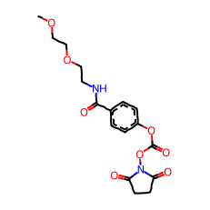 COCCOCCNC(=O)c1ccc(OC(=O)ON2C(=O)CCC2=O)cc1